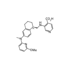 COc1cccc(N(C)c2ccc3c(c2)CCC[C@H]3CNc2cnccc2C(=O)O)n1